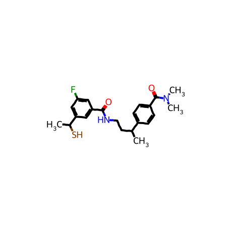 CC(S)c1cc(F)cc(C(=O)NCCC(C)c2ccc(C(=O)N(C)C)cc2)c1